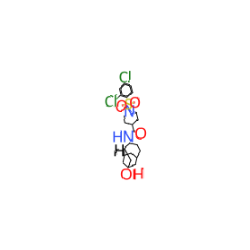 O=C(NC1CCC2C[C@@H]3CC(O)(C2)CC13)C1CCN(S(=O)(=O)c2ccc(Cl)cc2Cl)CC1